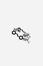 CCCCc1cc[nH]n1.Nc1ccc(C=Cc2ccccc2)cc1N